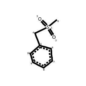 CS(=O)(=O)[C]c1ccccc1